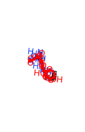 CO[C@H]1/C=C/O[C@@]2(C)Oc3c(C)c(O)c4c(=O)c(c5sc6cc(N7CCC(NC(=O)OCc8ccc(NC(=O)[C@H](CCCNC(N)=O)NC(=O)[C@@H](NC(=O)CCCCCN9C(=O)C=CC9=O)C(C)C)cc8)CC7)ccc6nc-5c4c3C2=O)NC(=O)/C(C)=C\C=C\[C@H](C)C[C@@H](C)C[C@@H](C)[C@H](O)[C@@H]1C